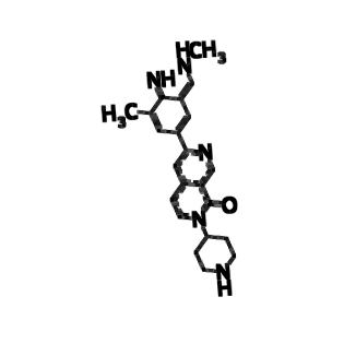 CN/C=C1/C=C(c2cc3ccn(C4CCNCC4)c(=O)c3cn2)C=C(C)C1=N